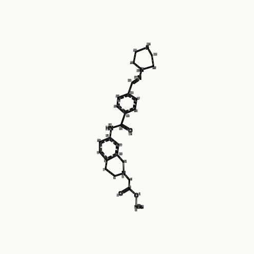 CCCCOC(=O)CN1CCc2ccc(NC(=O)c3ccc(/C=N/N4CCSCC4)cc3)cc2C1